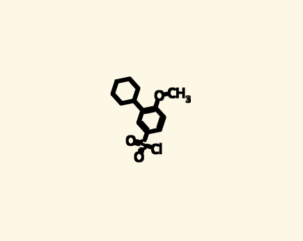 COc1ccc(S(=O)(=O)Cl)cc1C1CCCCC1